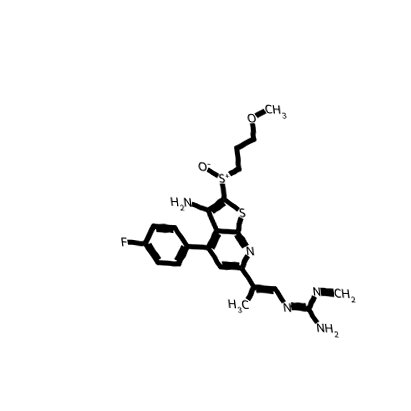 C=N/C(N)=N\C=C(/C)c1cc(-c2ccc(F)cc2)c2c(N)c([S+]([O-])CCCOC)sc2n1